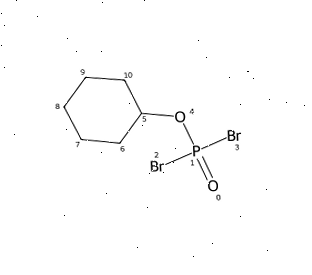 O=P(Br)(Br)OC1CCCCC1